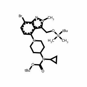 Cn1nc2c(Br)ccc(N3CCC(N(C(=O)OC(C)(C)C)C4CC4)CC3)c2c1CO[Si](C)(C)C(C)(C)C